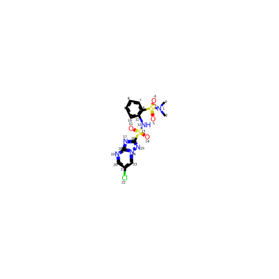 CN(C)S(=O)(=O)c1ccccc1NS(=O)(=O)c1nc2ncc(Cl)cn2n1